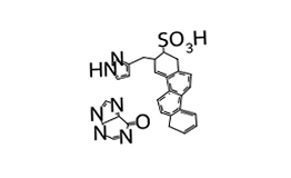 O=C1N=CN=C2N=CN=C12.O=S(=O)(O)C1Cc2ccc3c4c(ccc3c2=CC1Cc1cc[nH]n1)CC=CC=4